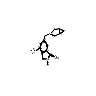 CN1Cc2c(cc(CN3CC4CC4C3)cc2C(F)(F)F)C1=O